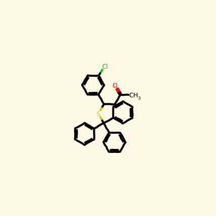 CC(=O)CC(SC(c1ccccc1)(c1ccccc1)c1ccccc1)c1cccc(Cl)c1